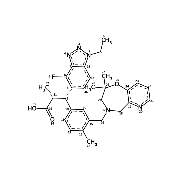 CCn1nnc2c(F)c([C@H](c3ccc(C)c(CN4Cc5ncccc5OC(C)(C)C4)c3)[C@@H](C)C(=O)O)ccc21